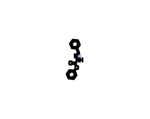 O=C(N/N=C/c1ccccc1)Oc1ccccc1